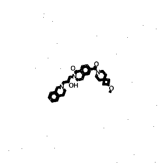 COC1CC2(CCN(C(=O)c3ccc4c(c3)CCN(CC(O)CN3CCc5ccccc5C3)C4=O)CC2)C1